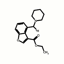 [2H]C(c1cccc2occ(C(=O)OCC)c12)N1CCCCC1